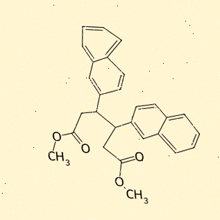 COC(=O)CC(c1ccc2ccccc2c1)C(CC(=O)OC)c1ccc2ccccc2c1